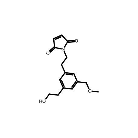 COCc1cc(CCO)cc(CCN2C(=O)C=CC2=O)c1